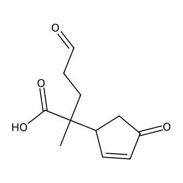 CC(CCC=O)(C(=O)O)C1C=CC(=O)C1